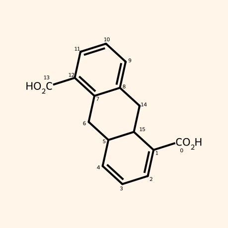 O=C(O)C1=CC=CC2Cc3c(cccc3C(=O)O)CC12